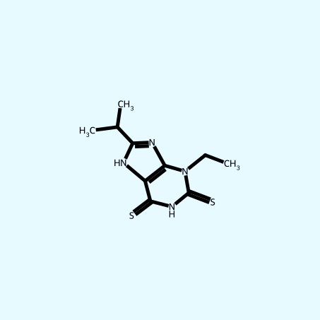 CCn1c(=S)[nH]c(=S)c2[nH]c(C(C)C)nc21